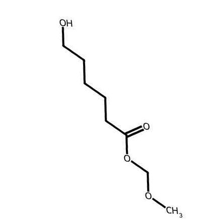 COCOC(=O)CCCCCO